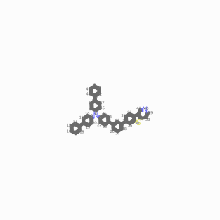 c1ccc(-c2ccc(N(c3ccc(-c4ccccc4)cc3)c3ccc(-c4cccc(-c5ccc6c(c5)sc5ccncc56)c4)cc3)cc2)cc1